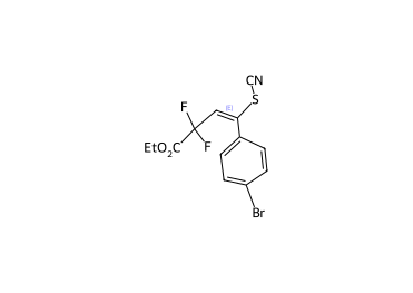 CCOC(=O)C(F)(F)/C=C(/SC#N)c1ccc(Br)cc1